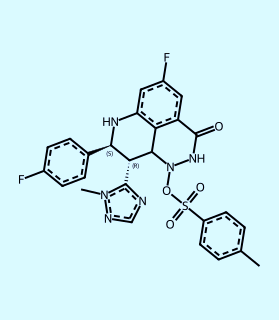 Cc1ccc(S(=O)(=O)ON2NC(=O)c3cc(F)cc4c3C2[C@H](c2ncnn2C)[C@@H](c2ccc(F)cc2)N4)cc1